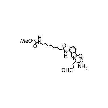 COCC(=O)NCCCCCCCC(=O)Nc1cccc2c1CN(C(CCC=O)C(N)=O)C2=O